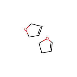 C1=CCOC1.C1=COCC1